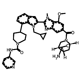 COc1cc(C(=O)N2C[C@H]3CC[C@@H]2C[C@@H]3N)cc2nc(-c3cc4cccc(C5CCN(C(=O)Nc6cccnc6)CC5)c4n3CC3CC3)n(C)c12